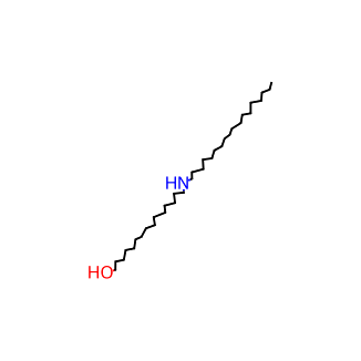 CCCCCCCCCCCCCCCCCCNCCCCCCCCCCCCCCCO